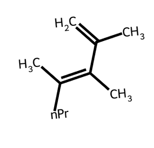 C=C(C)/C(C)=C(\C)CCC